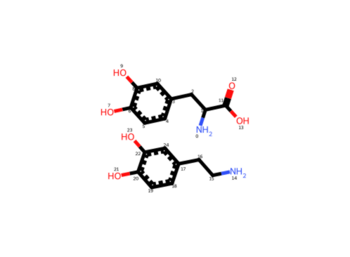 NC(Cc1ccc(O)c(O)c1)C(=O)O.NCCc1ccc(O)c(O)c1